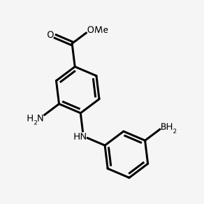 Bc1cccc(Nc2ccc(C(=O)OC)cc2N)c1